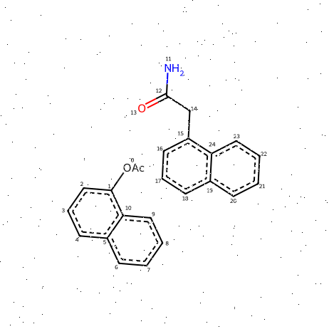 CC(=O)Oc1cccc2ccccc12.NC(=O)Cc1cccc2ccccc12